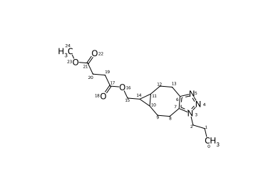 CCCn1nnc2c1CCC1C(CC2)C1COC(=O)CCC(=O)OC